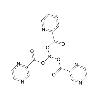 O=C(OB(OC(=O)c1cnccn1)OC(=O)c1cnccn1)c1cnccn1